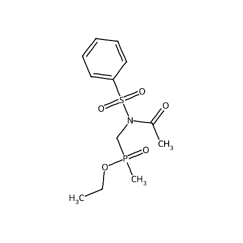 CCOP(C)(=O)CN(C(C)=O)S(=O)(=O)c1ccccc1